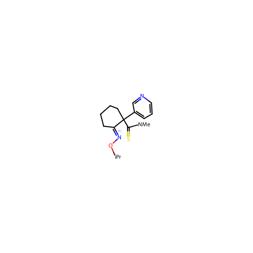 CNC(=S)C1(c2cccnc2)CCCC/C1=N\OC(C)C